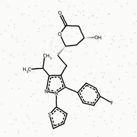 CC(C)c1nn(-c2cccs2)c(-c2ccc(F)cc2)c1CC[C@H]1C[C@@H](O)CC(=O)O1